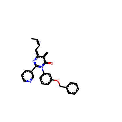 C=c1c(=O)n(-c2cccc(OCc3ccccc3)c2)c(-c2cccnc2)n/c1=C/C=C\C